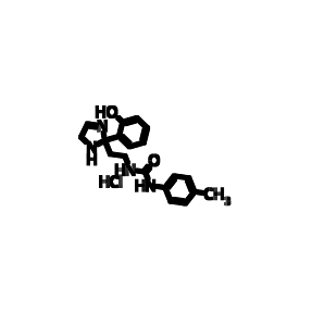 Cc1ccc(NC(=O)NCCC2(c3ccccc3O)N=CCN2)cc1.Cl